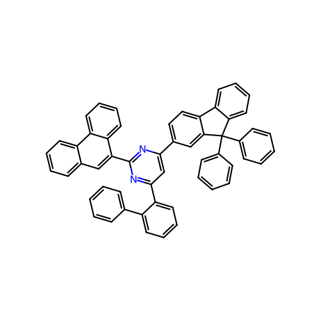 c1ccc(-c2ccccc2-c2cc(-c3ccc4c(c3)C(c3ccccc3)(c3ccccc3)c3ccccc3-4)nc(-c3cc4ccccc4c4ccccc34)n2)cc1